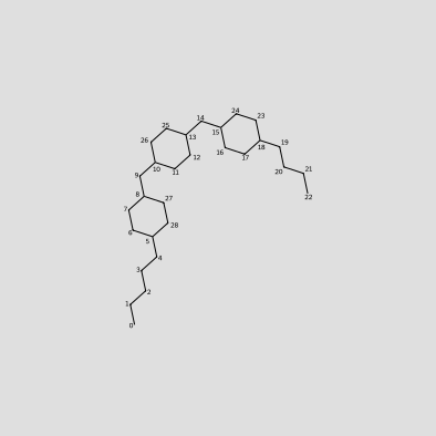 CCCCCC1CCC(CC2CCC(CC3CCC(CCCC)CC3)CC2)CC1